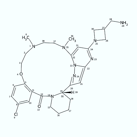 CN1CCOc2ccc(Cl)cc2C(=O)N2CCCC[C@H]2c2cc3nc(N4CC(CN)C4)cc(n3n2)N(C)CC1